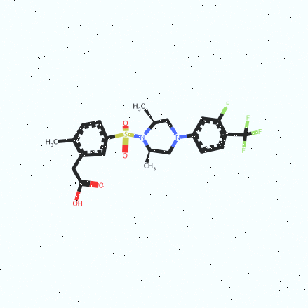 Cc1ccc(S(=O)(=O)N2[C@H](C)CN(c3ccc(C(F)(F)F)c(F)c3)C[C@@H]2C)cc1CC(=O)O